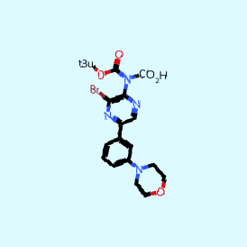 CC(C)(C)OC(=O)N(C(=O)O)c1ncc(-c2cccc(N3CCOCC3)c2)nc1Br